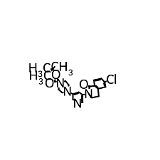 CC(C)(C)OC(=O)N1CCN(c2cncc(N3CCc4cc(Cl)ccc4C3=O)c2)CC1